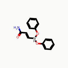 NC(=O)C=C[SiH](Oc1ccccc1)Oc1ccccc1